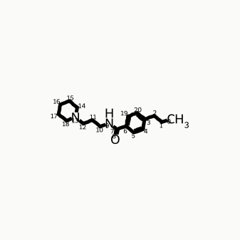 CCCc1ccc(C(=O)NCCCN2CCCCC2)cc1